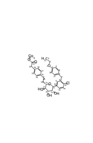 CCOc1ccc(Cc2cc([C@@H]3O[C@H](CSc4ccc(CC(=O)OC)cc4)[C@H](O)[C@@H](O)[C@H]3O)ccc2Cl)cc1